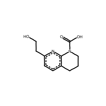 O=C(O)N1CCCc2ccc(CCO)nc21